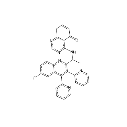 CC(Nc1ncnc2c1C(=O)C=CC2)c1nc2ccc(F)cc2c(-c2ccccn2)c1-c1ccccn1